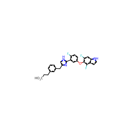 O=C(O)CCc1cccc(Cc2c[nH]c(-c3cc(Oc4c(F)cc5[nH]ccc5c4F)ccc3F)n2)c1